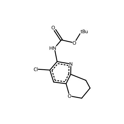 CC(C)(C)OC(=O)Nc1nc2c(cc1Cl)OCCC2